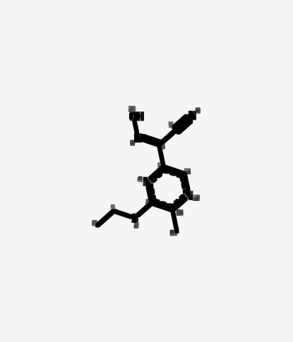 CCSc1nc(/C(C#N)=N/O)cnc1C